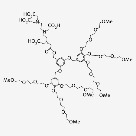 COCCOCCOCCOc1cc(COc2cc(COC(=O)CN(CCN(CCN(CC(=O)O)CC(=O)O)CC(=O)O)CC(=O)O)cc(OCc3cc(OCCOCCOCCOC)c(OCCOCCOCCOC)c(OCCOCCOCCOC)c3)c2)cc(OCCOCCOCCOC)c1OCCOCCOCCOC